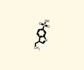 CCC1C=Nc2cc(S(=O)(=O)O)ccc21